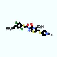 C[n+]1ccc(SCC2=C(C(=O)O)N3C(=O)[C@H](NC(=O)CSc4cc(Cl)c(C=CC(=O)O)cc4Cl)[C@H]3SC2)cc1